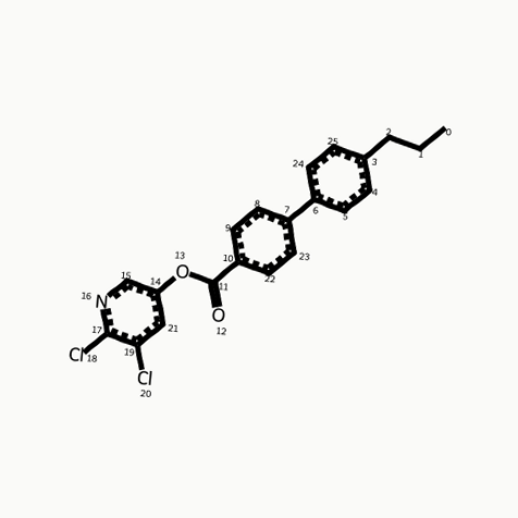 CCCc1ccc(-c2ccc(C(=O)Oc3cnc(Cl)c(Cl)c3)cc2)cc1